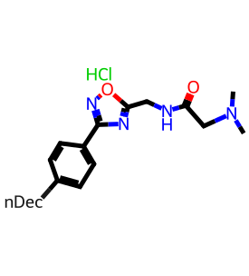 CCCCCCCCCCc1ccc(-c2noc(CNC(=O)CN(C)C)n2)cc1.Cl